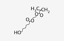 C=C(C)C(=O)OCCOC(=O)CCCCCO